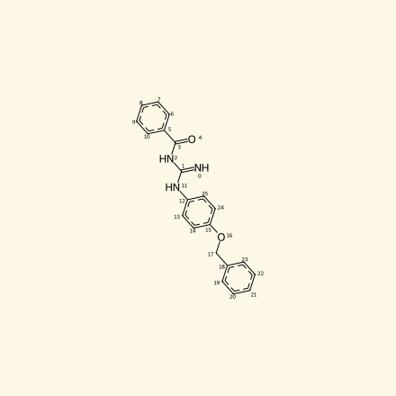 N=C(NC(=O)c1ccccc1)Nc1ccc(OCc2ccccc2)cc1